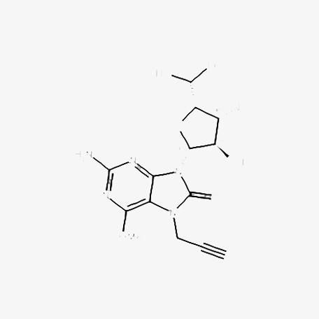 C#CCn1c(=O)n([C@@H]2O[C@H](C(O)CC)[C@H](F)[C@H]2O)c2nc(N)nc(OC)c21